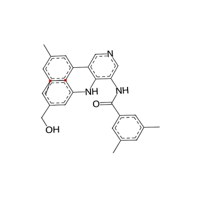 Cc1cc(C)cc(C(=O)Nc2cncc(-c3cc(C)cc(C)c3)c2Nc2cccc(CO)c2)c1